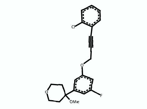 COC1(c2cc(F)cc(OCC#Cc3ccccc3Cl)c2)CCOCC1